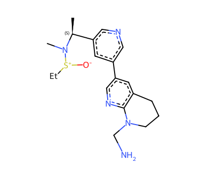 CC[S+]([O-])N(C)[C@@H](C)c1cncc(-c2cnc3c(c2)CCCN3CN)c1